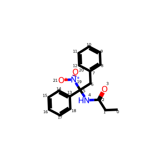 CCC(=O)NC(Cc1ccccc1)(c1ccccc1)[N+](=O)[O-]